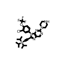 CC(C)[Si](C#Cc1nc2cnc(N3CCNCC3)nc2n1-c1ccc(OC(F)(F)F)c(Cl)c1)(C(C)C)C(C)C